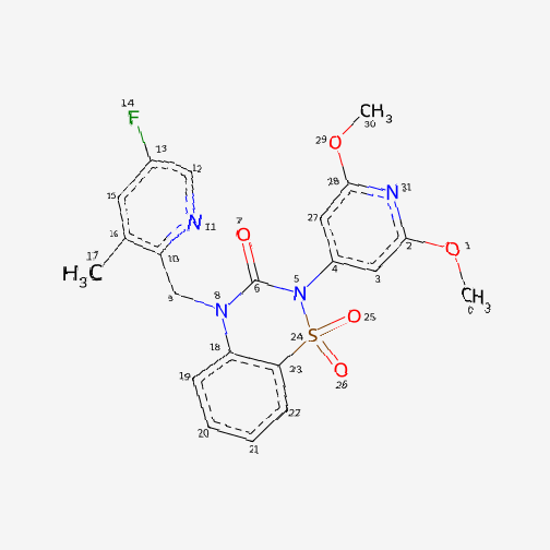 COc1cc(N2C(=O)N(Cc3ncc(F)cc3C)c3ccccc3S2(=O)=O)cc(OC)n1